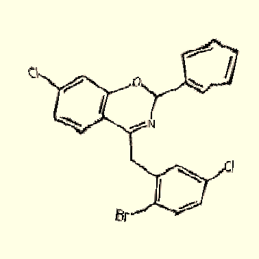 Clc1ccc(Br)c(CC2=NC(c3ccccc3)Oc3cc(Cl)ccc32)c1